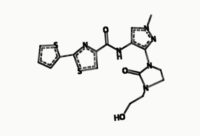 Cn1cc(NC(=O)c2csc(-c3cccs3)n2)c(N2CCN(CCO)C2=O)n1